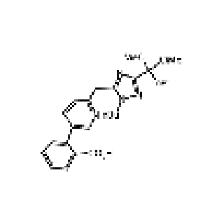 CCCCn1nc(C(CCC)(OC)OC)nc1Cc1ccc(-c2ccccc2C(=O)O)cn1